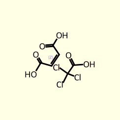 O=C(O)/C=C\C(=O)O.O=C(O)C(Cl)(Cl)Cl